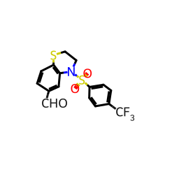 O=Cc1ccc2c(c1)N(S(=O)(=O)c1ccc(C(F)(F)F)cc1)CCS2